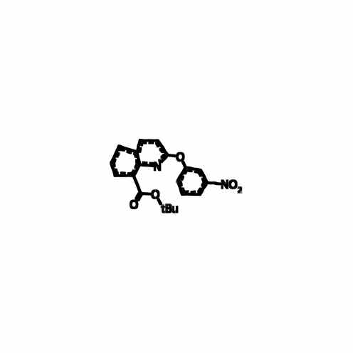 CC(C)(C)OC(=O)c1cccc2ccc(Oc3cccc([N+](=O)[O-])c3)nc12